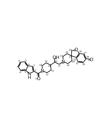 O=C(c1cc2ccccc2[nH]1)N1CCC(C(O)CN2CCC3(CC2)COc2cc(Cl)ccc23)CC1